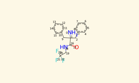 NC(Cc1ccccc1)(Cc1ccccc1)C(=O)NCC(F)(F)F